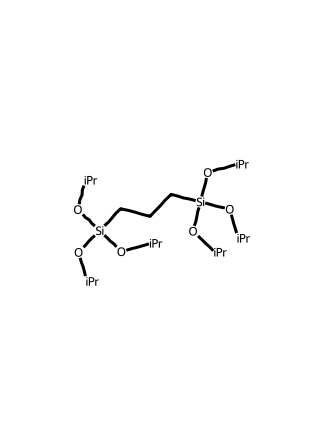 CC(C)O[Si](CCC[Si](OC(C)C)(OC(C)C)OC(C)C)(OC(C)C)OC(C)C